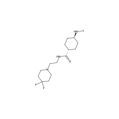 O=C(NCCN1CCC(F)(F)CC1)[C@H]1CC[C@H](NI)CC1